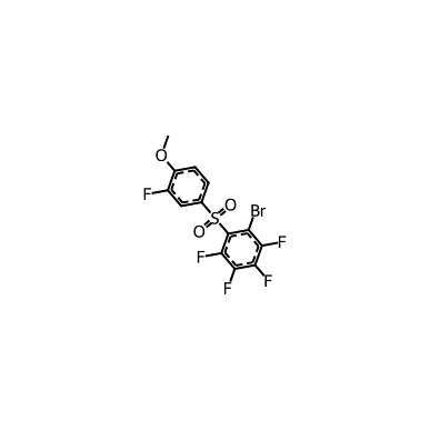 COc1ccc(S(=O)(=O)c2c(F)c(F)c(F)c(F)c2Br)cc1F